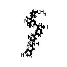 Cc1ccc(-c2cncc3[nH]c(-c4n[nH]c5cnc(-c6cncc(NC(=O)CC7CCNCC7)c6)cc45)cc23)s1